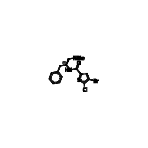 CNC[C@H](Cc1ccccc1)NC(=O)c1cc(Br)c(Cl)s1